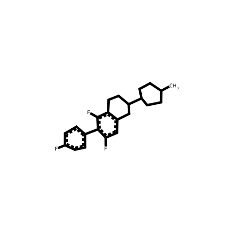 CC1CCC(C2CCc3c(cc(F)c(-c4ccc(F)cc4)c3F)C2)CC1